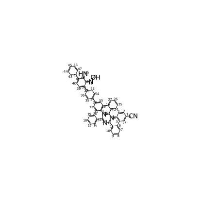 N#Cc1cccc(-c2ccccc2-c2nc(-c3ccccc3)nc(-c3ccccc3-c3cccc(-c4ccc(C5=CC=C(c6ccccc6)C(=N)/C5=N\O)cc4)c3)n2)c1